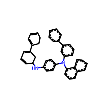 C1=CCCC(C2=CC=CC(Nc3ccc(N(c4cccc(-c5ccccc5)c4)c4cccc5ccccc45)cc3)C2)=C1